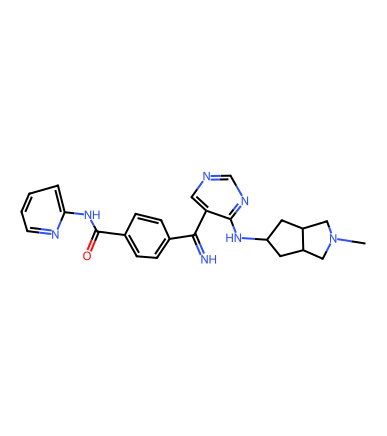 CN1CC2CC(Nc3ncncc3C(=N)c3ccc(C(=O)Nc4ccccn4)cc3)CC2C1